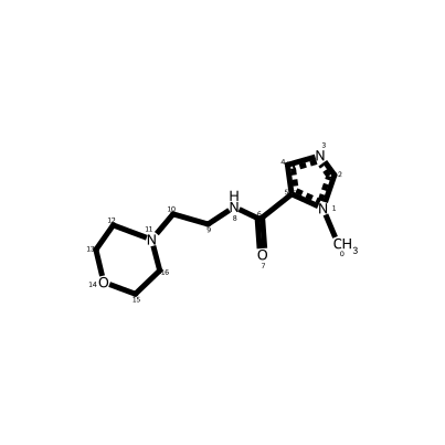 Cn1cncc1C(=O)NCCN1CCOCC1